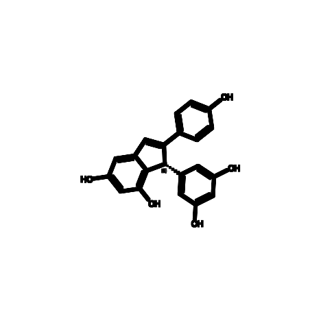 Oc1ccc(C2=Cc3cc(O)cc(O)c3[C@H]2c2cc(O)cc(O)c2)cc1